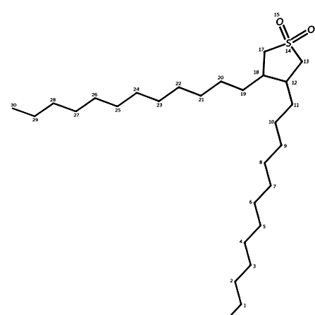 CCCCCCCCCCCCC1CS(=O)(=O)CC1CCCCCCCCCCCC